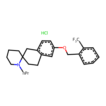 CCCN1CCCCC12CCc1cc(OCc3ccccc3C(F)(F)F)ccc1C2.Cl